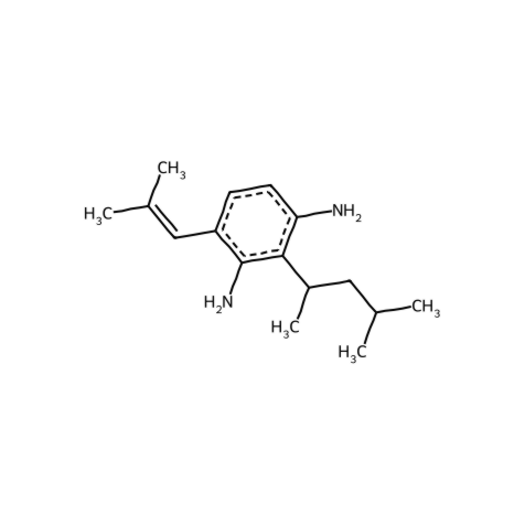 CC(C)=Cc1ccc(N)c(C(C)CC(C)C)c1N